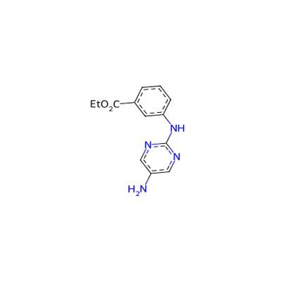 CCOC(=O)c1cccc(Nc2ncc(N)cn2)c1